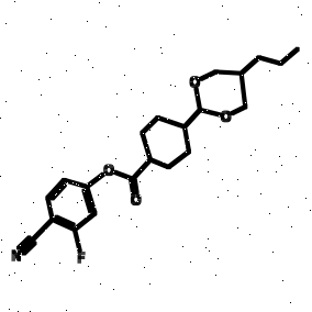 CCCC1COC(C2CCC(C(=O)Oc3ccc(C#N)c(F)c3)CC2)OC1